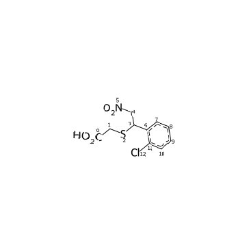 O=C(O)CSC(C[N+](=O)[O-])c1ccccc1Cl